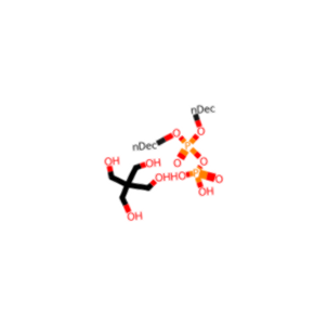 CCCCCCCCCCOP(=O)(OCCCCCCCCCC)OP(=O)(O)O.OCC(CO)(CO)CO